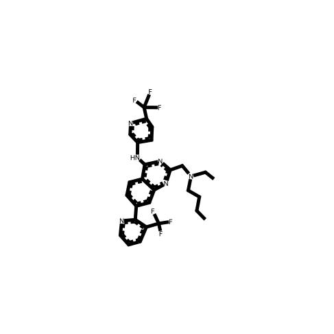 CCCCN(CC)Cc1nc(Nc2ccc(C(F)(F)F)nc2)c2ccc(-c3ncccc3C(F)(F)F)cc2n1